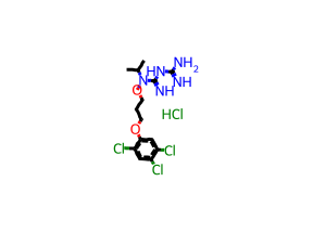 CC(C)N(OCCCOc1cc(Cl)c(Cl)cc1Cl)C(=N)NC(=N)N.Cl